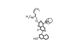 C=N/C(=C\C=C/C)COc1nc(N2CC3CCC(C2)N3)c2cnc(-c3cc(O)cc4ccccc34)c(F)c2n1